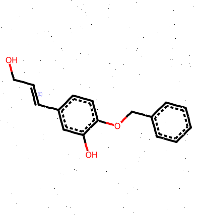 OC/C=C/c1ccc(OCc2ccccc2)c(O)c1